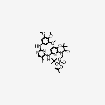 C=C(C)OP(=O)(OCN1C(=O)C(C)(C)Oc2ccc(Nc3nc(Nc4cc(OC)c(OC)c(OC)c4)ncc3F)nc21)OC(C)(C)C